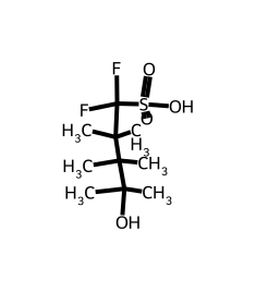 CC(C)(O)C(C)(C)C(C)(C)C(F)(F)S(=O)(=O)O